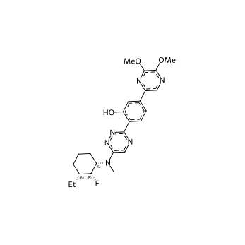 CC[C@@H]1CCC[C@H](N(C)c2cnc(-c3ccc(-c4cnc(OC)c(OC)n4)cc3O)nn2)[C@@H]1F